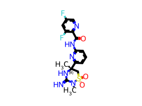 CN1C(=N)N[C@](C)(c2cccc(NC(=O)c3ncc(F)cc3F)n2)CS1(=O)=O